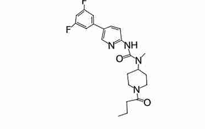 CCCC(=O)N1CCC(N(C)C(=O)Nc2ccc(-c3cc(F)cc(F)c3)cn2)CC1